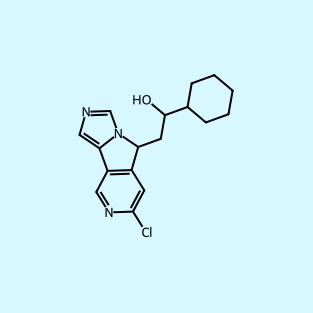 OC(CC1c2cc(Cl)ncc2-c2cncn21)C1CCCCC1